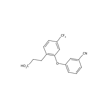 N#Cc1cccc(Oc2cc(C(F)(F)F)ccc2CCC(=O)O)c1